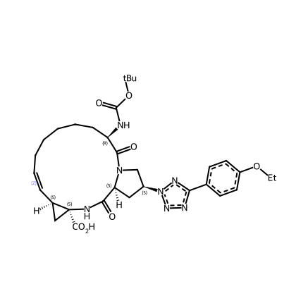 CCOc1ccc(-c2nnn([C@H]3C[C@H]4C(=O)N[C@@]5(C(=O)O)C[C@H]5/C=C\CCCCC[C@@H](NC(=O)OC(C)(C)C)C(=O)N4C3)n2)cc1